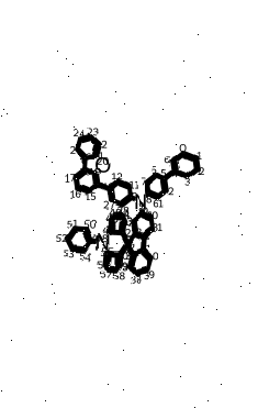 C1=CCCC(c2ccc(N(c3ccc(-c4cccc5c4oc4ccccc45)cc3)c3ccc4c(c3)C3(c5ccccc5-4)c4ccccc4N(c4ccccc4)c4ccccc43)cc2)=C1